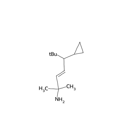 CC(C)(N)C=CC(C1CC1)C(C)(C)C